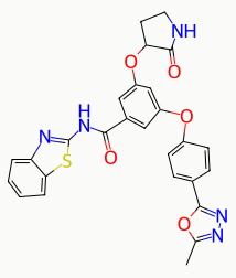 Cc1nnc(-c2ccc(Oc3cc(OC4CCNC4=O)cc(C(=O)Nc4nc5ccccc5s4)c3)cc2)o1